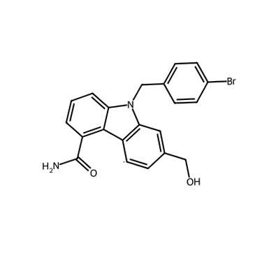 NC(=O)c1cccc2c1c1[c]cc(CO)cc1n2Cc1ccc(Br)cc1